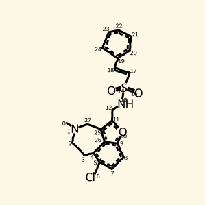 CN1CCc2c(Cl)ccc3oc(CNS(=O)(=O)C=Cc4ccccc4)c(c23)C1